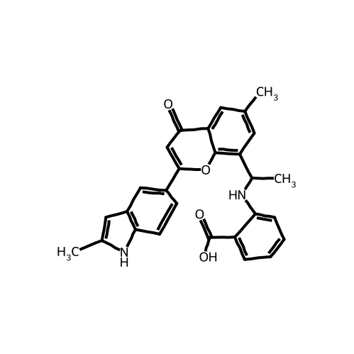 Cc1cc(C(C)Nc2ccccc2C(=O)O)c2oc(-c3ccc4[nH]c(C)cc4c3)cc(=O)c2c1